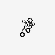 O=C(OCCCc1ccccc1)N1CCCN1S(=O)(=O)Cc1ccccc1